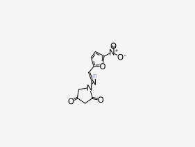 O=C1CC(=O)N(/N=C/c2ccc([N+](=O)[O-])o2)C1